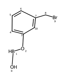 OBOc1cccc(CBr)c1